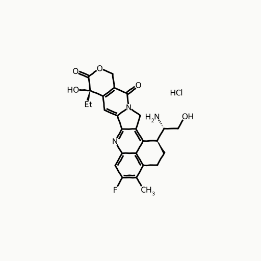 CC[C@@]1(O)C(=O)OCc2c1cc1n(c2=O)Cc2c-1nc1cc(F)c(C)c3c1c2[C@@H]([C@H](N)CO)CC3.Cl